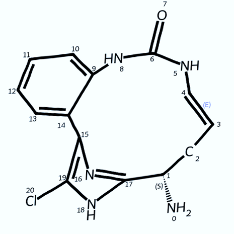 N[C@H]1C/C=C/NC(=O)Nc2ccccc2-c2nc1[nH]c2Cl